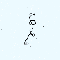 NCCCC(=O)OC[C@@H]1CC[C@@H](CO)O1